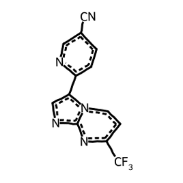 N#Cc1ccc(-c2cnc3nc(C(F)(F)F)ccn23)nc1